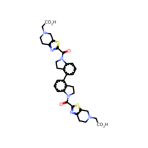 O=C(O)CN1CCc2nc(C(=O)N3CCc4c(-c5cccc6c5CCN6C(=O)c5nc6c(s5)CN(CC(=O)O)CC6)cccc43)sc2C1